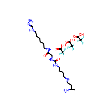 CC(N)CCNCCCCNC(=O)NCC(=O)NCCCCCCNC=NN.O=C(O)C(F)(F)F.O=C(O)C(F)(F)F.O=C(O)C(F)(F)F